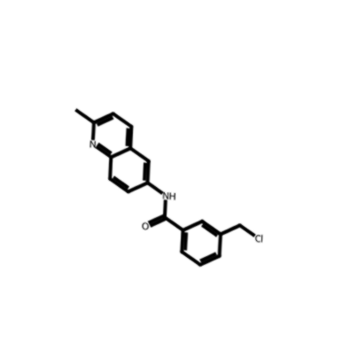 Cc1ccc2cc(NC(=O)c3cccc(CCl)c3)ccc2n1